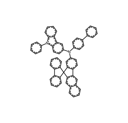 c1ccc(-c2ccc(N(c3ccc4c(c3)C3(c5ccccc5-c5ccccc53)c3cc5ccccc5cc3-4)c3ccc4c(c3)c3ccccc3n4-c3ccccc3)cc2)cc1